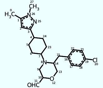 Cc1cc(C2CCC(N3CC(C=O)OCC3Cc3ccc(Cl)cc3)CC2)nn1C